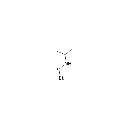 CC[C]NC(C)C